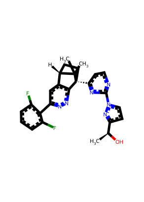 C[C@H](O)c1ccn(-c2nccc([C@]34CC[C@@H](c5cc(-c6c(F)cccc6F)nnc53)C4(C)C)n2)n1